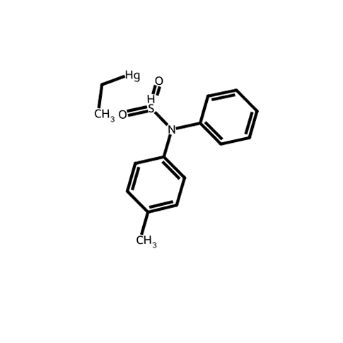 C[CH2][Hg].Cc1ccc(N(c2ccccc2)[SH](=O)=O)cc1